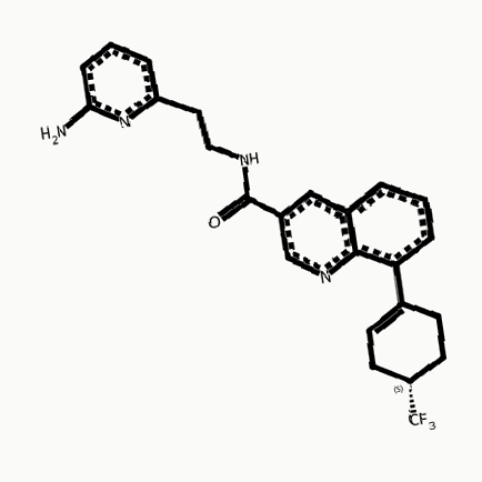 Nc1cccc(CCNC(=O)c2cnc3c(C4=CC[C@@H](C(F)(F)F)CC4)cccc3c2)n1